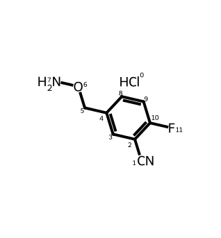 Cl.N#Cc1cc(CON)ccc1F